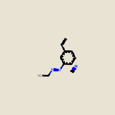 C#N.C=Cc1cccc(N=NCC#N)c1